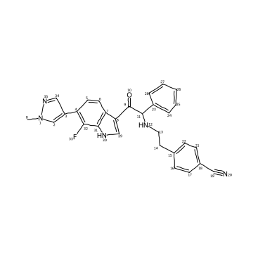 Cn1cc(-c2ccc3c(C(=O)C(NCCc4ccc(C#N)cc4)c4ccccc4)c[nH]c3c2F)cn1